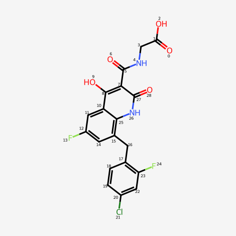 O=C(O)CNC(=O)c1c(O)c2cc(F)cc(Cc3ccc(Cl)cc3F)c2[nH]c1=O